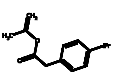 C=C(C)OC(=O)Cc1ccc(C(C)C)cc1